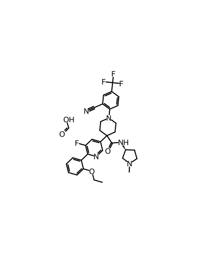 CCOc1ccccc1-c1ncc(C2(C(=O)N[C@H]3CCN(C)C3)CCN(c3ccc(C(F)(F)F)cc3C#N)CC2)cc1F.O=CO